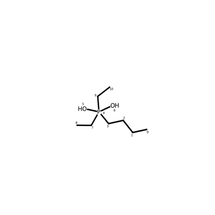 CCCCP(O)(O)(CC)CC